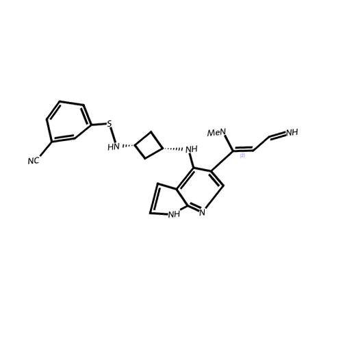 CN/C(=C\C=N)c1cnc2[nH]ccc2c1N[C@H]1C[C@@H](NSc2cccc(C#N)c2)C1